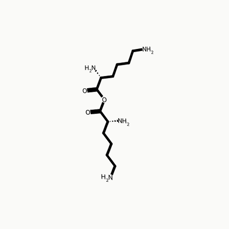 NCCCC[C@@H](N)C(=O)OC(=O)[C@H](N)CCCCN